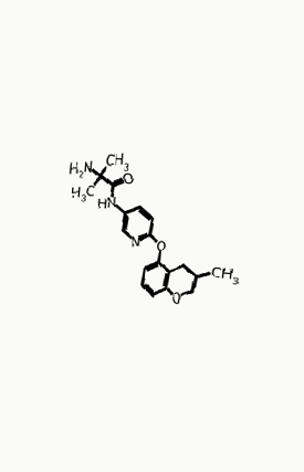 CC1COc2cccc(Oc3ccc(NC(=O)C(C)(C)N)cn3)c2C1